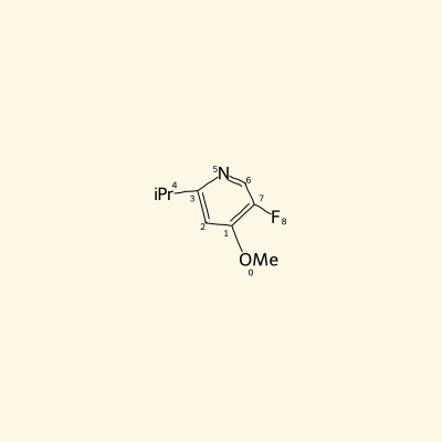 COc1cc(C(C)C)ncc1F